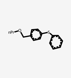 CCCOCc1ccc(Sc2ccccc2)cc1